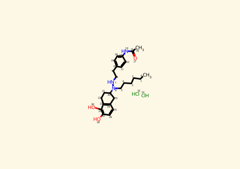 CCCCCCN(NCCc1ccc(NC(C)=O)cc1)C1CCc2c(ccc(O)c2O)C1.Cl.Cl